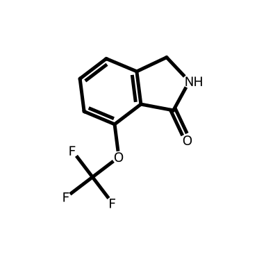 O=C1NCc2cccc(OC(F)(F)F)c21